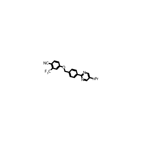 CCCc1cnc(-c2ccc(COc3ccc(C#N)c(C(F)(F)F)c3)cc2)nc1